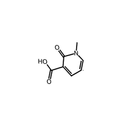 Cn1c[c]cc(C(=O)O)c1=O